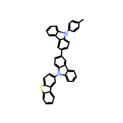 Cc1ccc(-n2c3ccccc3c3cc(-c4ccc5c(c4)c4ccccc4n5-c4ccc5sc6ccccc6c5c4)ccc32)cc1